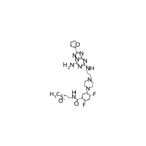 C[S+]([O-])CCNC(=O)c1cc(N2CCN(CCNc3nc(N)n4nc(-c5ccco5)nc4n3)CC2)c(F)cc1F